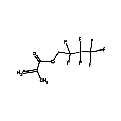 C=C(C)C(=O)OCC(F)(F)C(F)(F)C(F)(F)F